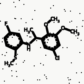 COc1cc(Cl)cc(C(C)Nc2cc(F)ccc2SC)c1OC